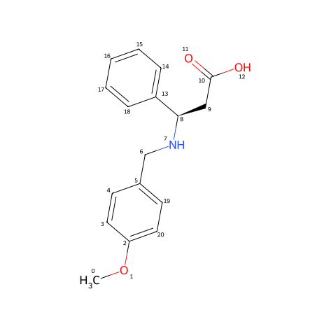 COc1ccc(CN[C@H](CC(=O)O)c2ccccc2)cc1